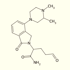 CC1CN(c2cccc3c2CN(C(CCC=O)C(N)=O)C3=O)CCN1C